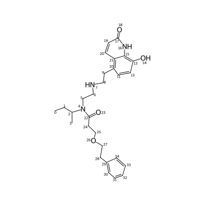 CCC(C)N(CCNCCc1ccc(O)c2[nH]c(=O)ccc12)C(=O)CCOCCc1ccccc1